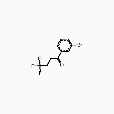 O=C(CCC(F)(F)F)c1cccc(Br)c1